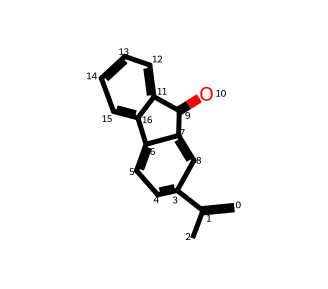 C=C(C)c1ccc2c(c1)C(=O)c1ccccc1-2